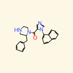 O=C(c1cncn1-c1cccc2ccccc12)N1CCNCC1Cc1ccccc1